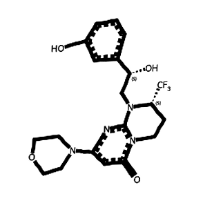 O=c1cc(N2CCOCC2)nc2n1CC[C@@H](C(F)(F)F)N2C[C@@H](O)c1cccc(O)c1